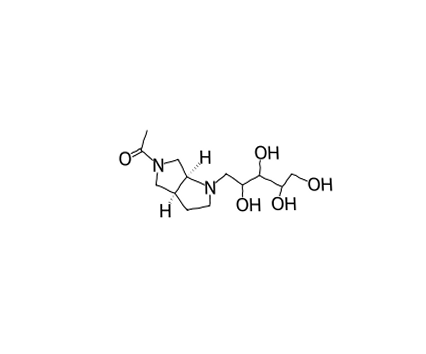 CC(=O)N1C[C@@H]2CCN(CC(O)C(O)C(O)CO)[C@@H]2C1